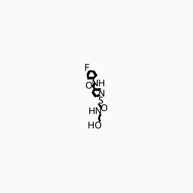 O=C(CSc1ccc(C(=O)Nc2ccc(F)cc2)cn1)NCCCO